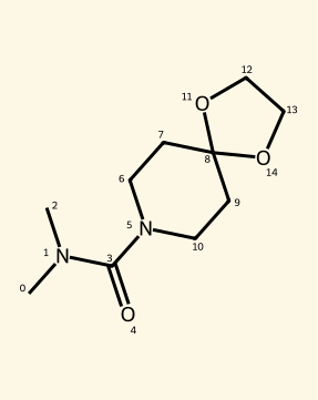 CN(C)C(=O)N1CCC2(CC1)OCCO2